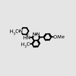 COc1ccc(-c2nnc(N[C@@H]3CCCN(C)C3)c3c(C)cccc23)cc1